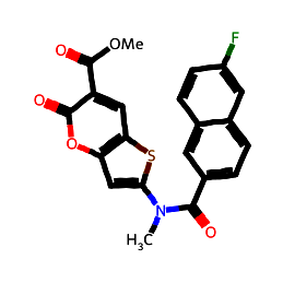 COC(=O)c1cc2sc(N(C)C(=O)c3ccc4cc(F)ccc4c3)cc2oc1=O